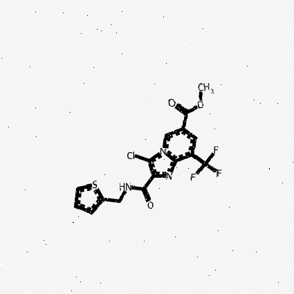 COC(=O)c1cc(C(F)(F)F)c2nc(C(=O)NCc3cccs3)c(Cl)n2c1